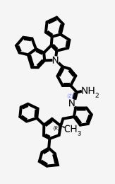 C[C@@]1(Cc2ccccc2/N=C(\N)c2ccc(-n3c4ccc5ccccc5c4c4c5ccccc5ccc43)cc2)C=C(c2ccccc2)C=C(c2ccccc2)C1